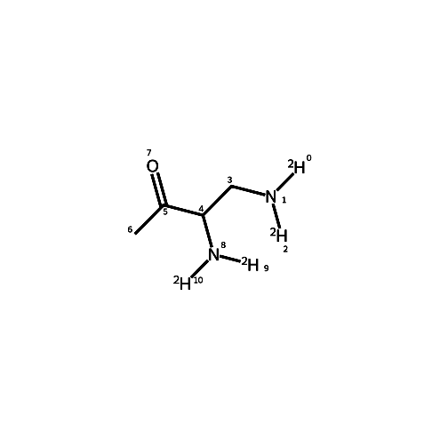 [2H]N([2H])CC(C(C)=O)N([2H])[2H]